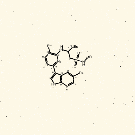 CC(C)(C)NS(=O)(=O)CC(Nc1nc(-c2c[nH]c3ncc(F)cc23)ncc1F)C(C)(C)C